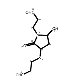 O=CCCSC1CC(O)N(CCC=O)C1=O